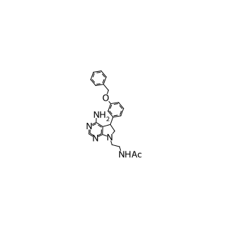 CC(=O)NCCN1CC(c2cccc(OCc3ccccc3)c2)c2c(N)ncnc21